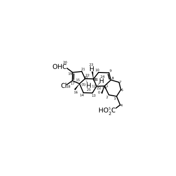 C[C@]12CC(CC(=O)O)CCC1=CC[C@@H]1[C@@H]2CC[C@]2(C)C(Cl)=C(C=O)C[C@@H]12